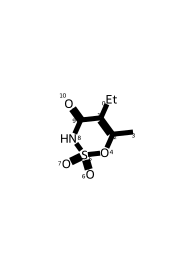 CCC1=C(C)OS(=O)(=O)NC1=O